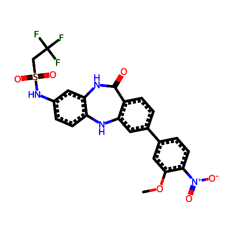 COc1cc(-c2ccc3c(c2)Nc2ccc(NS(=O)(=O)CC(F)(F)F)cc2NC3=O)ccc1[N+](=O)[O-]